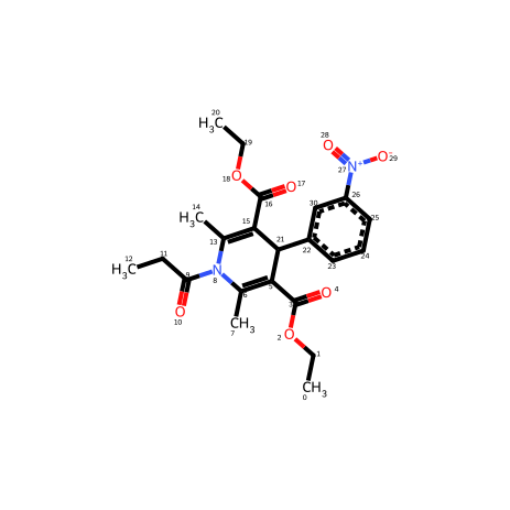 CCOC(=O)C1=C(C)N(C(=O)CC)C(C)=C(C(=O)OCC)C1c1cccc([N+](=O)[O-])c1